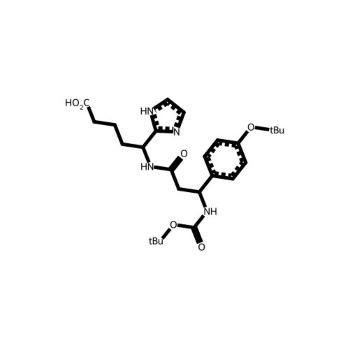 CC(C)(C)OC(=O)NC(CC(=O)NC(CCCC(=O)O)c1ncc[nH]1)c1ccc(OC(C)(C)C)cc1